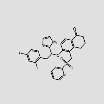 O=C1CCCc2c1ccc(OC(Cc1ccc(F)cc1F)c1ncc[nH]1)c2CS(=O)(=O)c1ccccn1